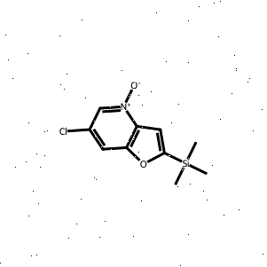 C[Si](C)(C)c1cc2c(cc(Cl)c[n+]2[O-])o1